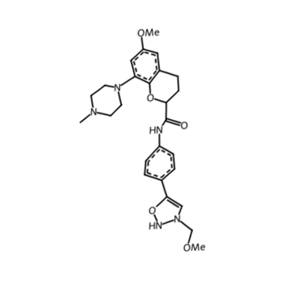 COCN1C=C(c2ccc(NC(=O)C3CCc4cc(OC)cc(N5CCN(C)CC5)c4O3)cc2)ON1